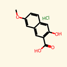 COc1ccc2cc(O)c(C(=O)O)cc2c1.Cl